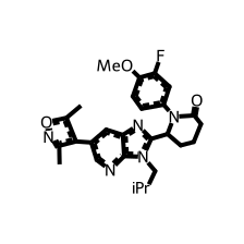 COc1ccc(N2C(=O)CCCC2c2nc3cc(-c4c(C)noc4C)cnc3n2CC(C)C)cc1F